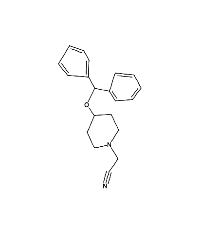 N#CCN1CCC(OC(c2ccccc2)c2ccccc2)CC1